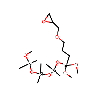 CO[Si](C)(C)O[Si](C)(C)O[Si](C)(C)O[Si](CCCOCC1CO1)(OC)OC